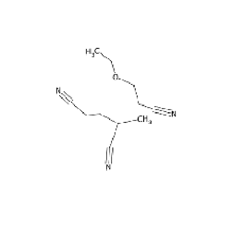 CC(C#N)CCC#N.CCOCCC#N